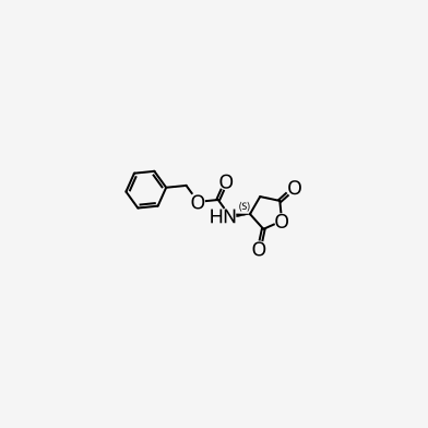 O=C1C[C@H](NC(=O)OCc2ccccc2)C(=O)O1